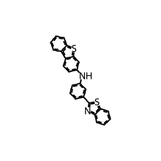 c1cc(Nc2ccc3c(c2)sc2ccccc23)cc(-c2nc3ccccc3s2)c1